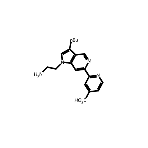 CCCCc1cn(CCN)c2cc(-c3cc(C(=O)O)ccn3)ncc12